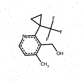 Cc1ccnc(C2(C(F)(F)F)CC2)c1CO